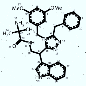 COc1cc(Cn2c(Cc3ccccc3)nnc2C(CNC(=O)C(C)(C)N)c2c[nH]c3ccccc23)cc(OC)c1